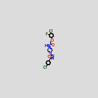 O=C(COc1ccc(Cl)c(F)c1)NN1CCN(c2nnc(-c3ccc(Cl)cc3)o2)CC1